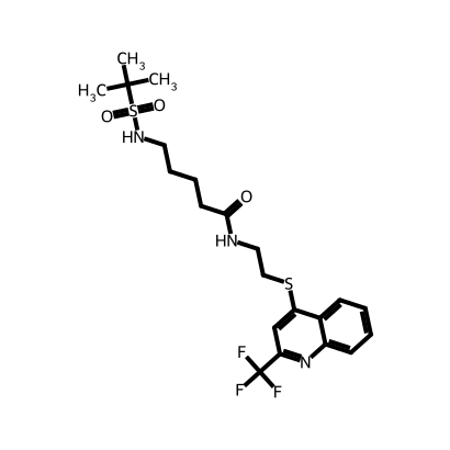 CC(C)(C)S(=O)(=O)NCCCCC(=O)NCCSc1cc(C(F)(F)F)nc2ccccc12